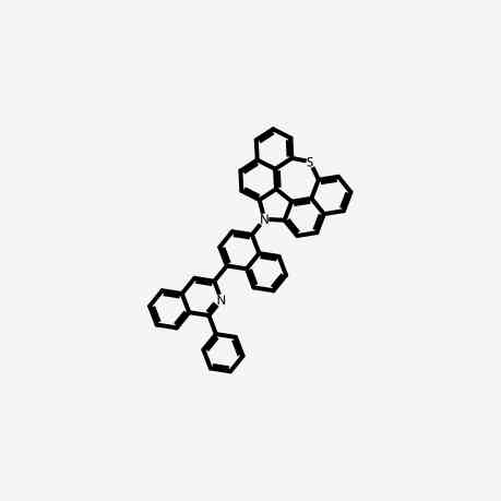 c1ccc(-c2nc(-c3ccc(-n4c5ccc6cccc7sc8cccc9ccc4c(c98)c5c67)c4ccccc34)cc3ccccc23)cc1